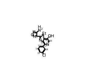 CCn1c(-c2nonc2N)nc2c(-c3cccc(Cl)c3)ncc(O)c21